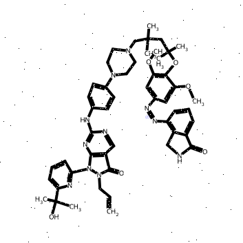 C=CCn1c(=O)c2cnc(Nc3ccc(N4CCN(CC(C)(C)CC(C)(C)Oc5c(OC)cc(/N=N\c6cccc7c6CNC7=O)cc5OC)CC4)cc3)nc2n1-c1cccc(C(C)(C)O)n1